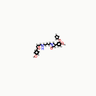 COc1ccc(C2CCC(CNCCCCCN3CC(c4ccc(OC)c(OC5CCCC5)c4)CC3=O)O2)cc1